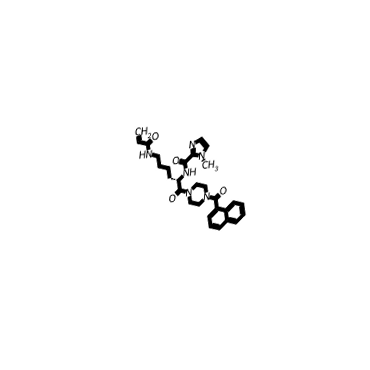 C=CC(=O)NCCCC[C@H](NC(=O)c1nccn1C)C(=O)N1CCN(C(=O)c2cccc3ccccc23)CC1